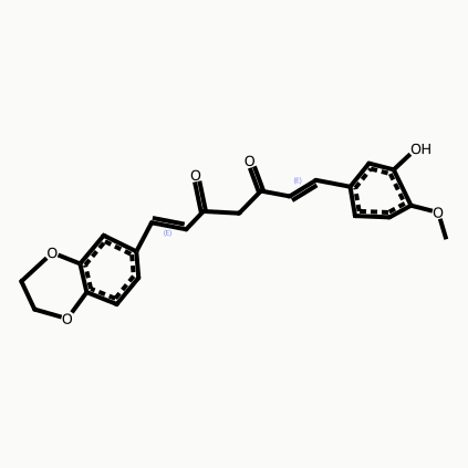 COc1ccc(/C=C/C(=O)CC(=O)/C=C/c2ccc3c(c2)OCCO3)cc1O